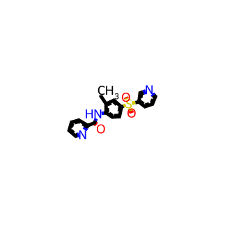 CCc1cc(S(=O)(=O)c2cccnc2)ccc1NC(=O)c1ccccn1